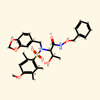 COc1cc(C)c(S(=O)(=O)N(Cc2ccc3c(c2)OCO3)C(C(=O)NOCc2ccccc2)C(C)O)c(C)c1C